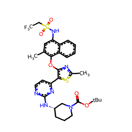 Cc1nc(Oc2c(C)cc(NS(=O)(=O)CC(F)(F)F)c3ccccc23)c(-c2ccnc(N[C@H]3CCCN(C(=O)OC(C)(C)C)C3)n2)s1